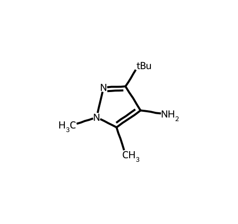 Cc1c(N)c(C(C)(C)C)nn1C